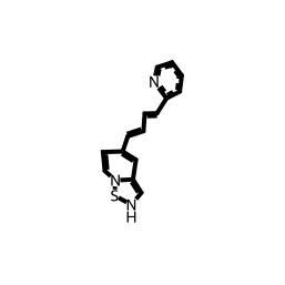 C(C=Cc1ccccn1)=CC1=CC2=CNSN2C=C1